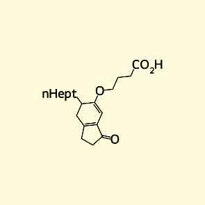 CCCCCCCC1CC2=C(C=C1OCCCC(=O)O)C(=O)CC2